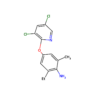 CCc1cc(Oc2ncc(Cl)cc2Cl)cc(C)c1N